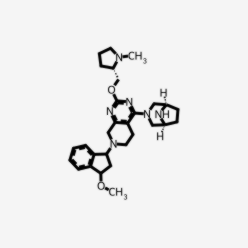 COC1CC(N2CCc3c(nc(OC[C@@H]4CCCN4C)nc3N3C[C@H]4CC[C@@H](C3)N4)C2)c2ccccc21